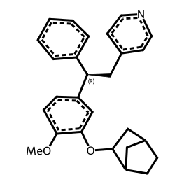 COc1ccc([C@H](Cc2ccncc2)c2ccccc2)cc1OC1CC2CCC1C2